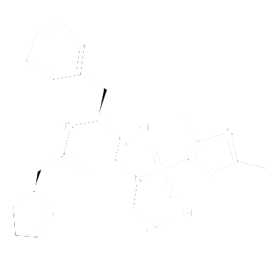 Cc1nc(C)c(S(=O)(=O)N(C[C@@H](O)[C@H](Cc2ccccc2)NC(=O)C[C@H]2C=CCC2)C[C@@H](C)O)s1